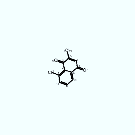 O=C1C=C(O)C(=O)c2c(Cl)cccc21